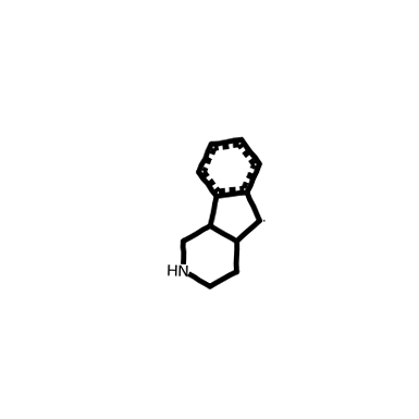 [CH]1c2ccccc2C2CNCCC12